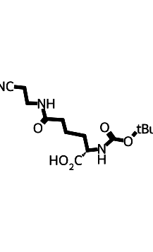 CC(C)(C)OC(=O)N[C@@H](CCCC(=O)NCCC#N)C(=O)O